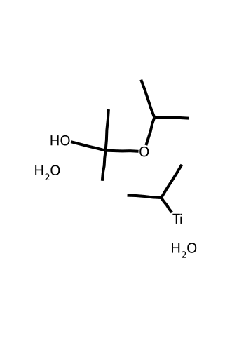 CC(C)OC(C)(C)O.C[CH](C)[Ti].O.O